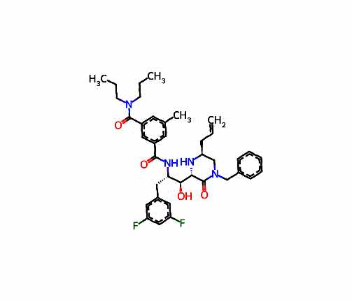 C=CC[C@H]1CN(Cc2ccccc2)C(=O)[C@H]([C@@H](O)[C@H](Cc2cc(F)cc(F)c2)NC(=O)c2cc(C)cc(C(=O)N(CCC)CCC)c2)N1